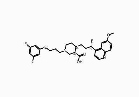 COc1ccc2nccc([C@@H](F)CC[C@@H]3CCN(CCCSc4cc(F)cc(F)c4)C[C@@H]3C(=O)O)c2c1